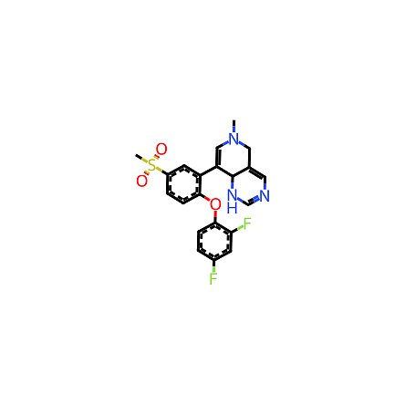 CN1C=C(c2cc(S(C)(=O)=O)ccc2Oc2ccc(F)cc2F)C2NC=NC=C2C1